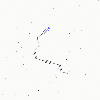 C/C=C/C#C/C=C\CCC#N